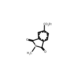 CCOC(=O)c1ccc2c(c1)C(=O)N(C)C2=O